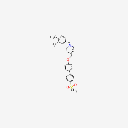 Cc1ccc(CN2CCC(COc3ccc(-c4ccc(S(C)(=O)=O)cc4)cc3)CC2)cc1C